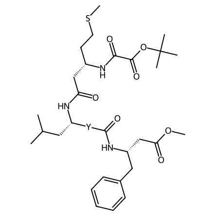 COC(=O)C[C@H](Cc1ccccc1)N[C](=O)[Y][C@H](CC(C)C)NC(=O)C[C@H](CCSC)NC(=O)C(=O)OC(C)(C)C